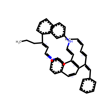 C\C=C/C=C/C(=C/c1ccccc1)C(/C=C\c1ccccc1)=C(/C=C/N=C\C=C(/CCC)c1ccccc1)\C=C\Nc1ccccc1